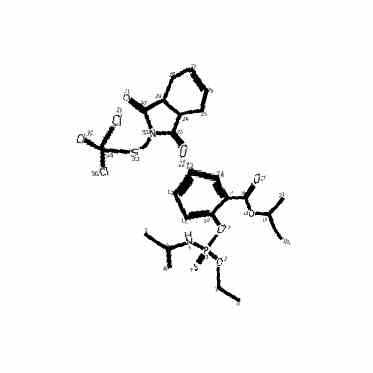 CCOP(=S)(NC(C)C)Oc1ccccc1C(=O)OC(C)C.O=C1C2CC=CCC2C(=O)N1SC(Cl)(Cl)Cl